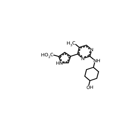 Cc1cnc(NC2CCC(O)CC2)nc1-c1c[nH]c(C(=O)O)c1